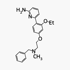 CCOc1cc(OCCN(C)Cc2ccccc2)ccc1-c1cccc(N)n1